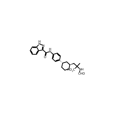 CC(C[C@H]1CCC[C@H](c2ccc(NC(=O)c3n[nH]c4ccccc34)cc2)C1)(NC=O)C(=O)O